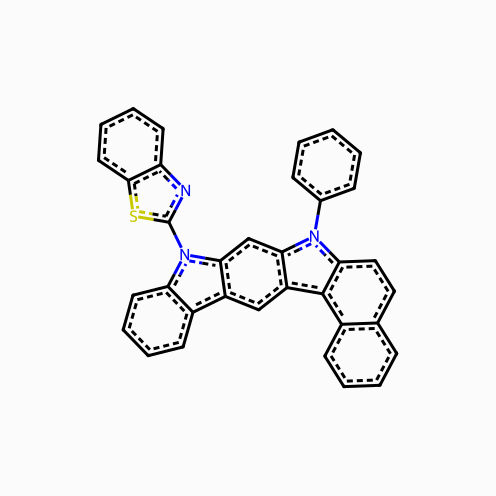 c1ccc(-n2c3cc4c(cc3c3c5ccccc5ccc32)c2ccccc2n4-c2nc3ccccc3s2)cc1